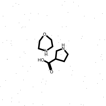 C1COCCN1.O=C(O)C1CCNC1